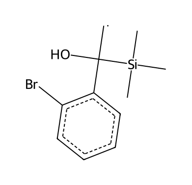 [CH2]C(O)(c1ccccc1Br)[Si](C)(C)C